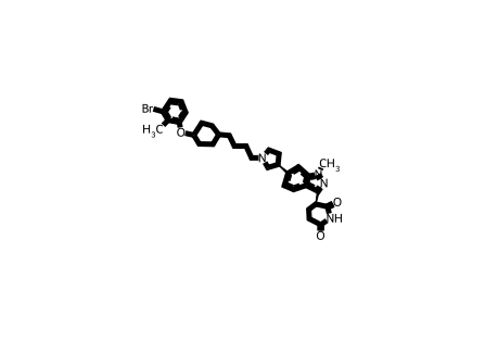 Cc1c(Br)cccc1OC1CCC(CCCCN2CC[C@@H](c3ccc4c([C@@H]5CCC(=O)NC5=O)nn(C)c4c3)C2)CC1